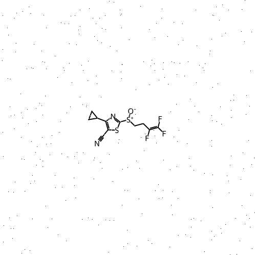 N#Cc1sc([S+]([O-])CCC(F)=C(F)F)nc1C1CC1